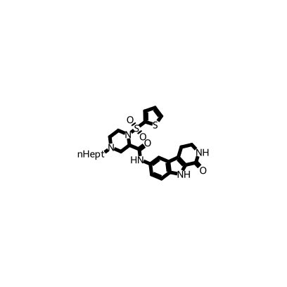 CCCCCCCN1CCN(S(=O)(=O)c2cccs2)C(C(=O)Nc2ccc3[nH]c4c(c3c2)CCNC4=O)C1